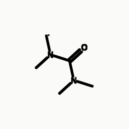 [CH2]N(C)C(=O)N(C)C